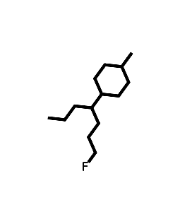 CCCC(CCCF)C1CCC(C)CC1